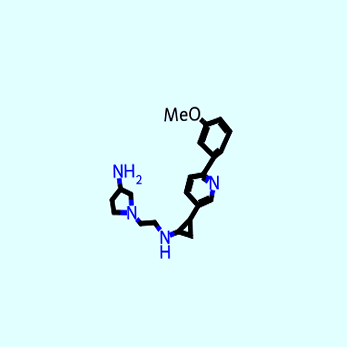 COc1cccc(-c2ccc(C3CC3NCCN3CCC(N)C3)cn2)c1